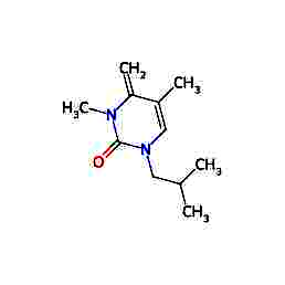 C=C1C(C)=CN(CC(C)C)C(=O)N1C